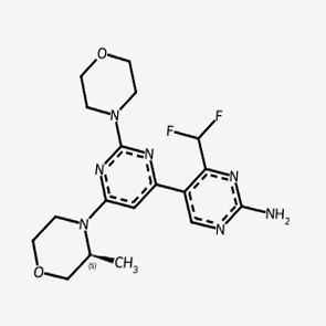 C[C@H]1COCCN1c1cc(-c2cnc(N)nc2C(F)F)nc(N2CCOCC2)n1